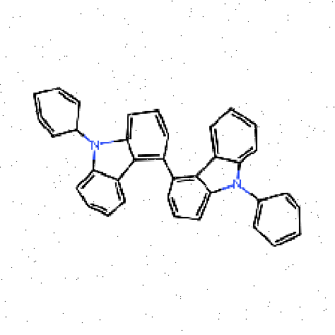 C1=CC=CC(n2c3ccccc3c3c(-c4cccc5c4c4ccccc4n5-c4ccccc4)cccc32)C=1